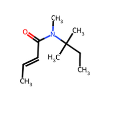 C/C=C/C(=O)N(C)C(C)(C)CC